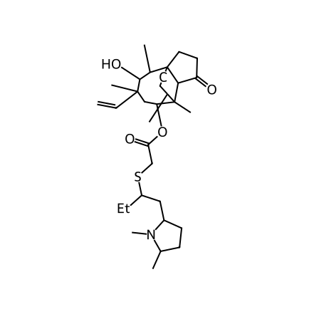 C=CC1(C)CC(OC(=O)CSC(CC)CC2CCC(C)N2C)C2(C)C(C)CCC3(CCC(=O)C32)C(C)C1O